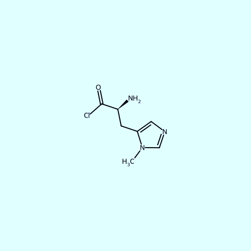 Cn1cncc1C[C@H](N)C(=O)Cl